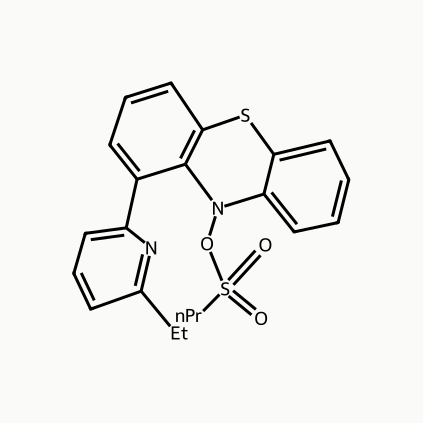 CCCS(=O)(=O)ON1c2ccccc2Sc2cccc(-c3cccc(CC)n3)c21